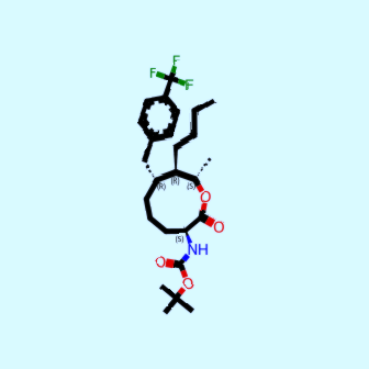 CCCC[C@@H]1[C@@H](Cc2ccc(C(F)(F)F)cc2)CCC[C@H](NC(=O)OC(C)(C)C)C(=O)O[C@H]1C